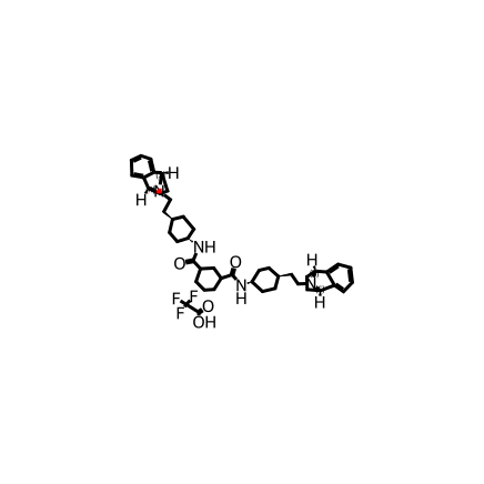 O=C(N[C@H]1CC[C@H](CCN2[C@@H]3CC[C@H]2c2ccccc23)CC1)C1CCCC(C(=O)N[C@H]2CC[C@H](CCN3[C@@H]4CC[C@H]3c3ccccc34)CC2)C1.O=C(O)C(F)(F)F